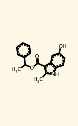 Cc1[nH]c2ccc(O)cc2c1C(=O)OC(C)c1ccccc1